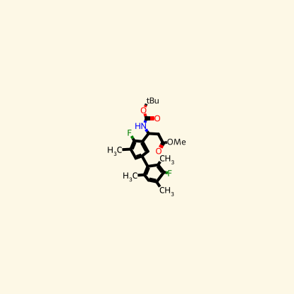 COC(=O)CC(NC(=O)OC(C)(C)C)c1cc(-c2c(C)cc(C)c(F)c2C)cc(C)c1F